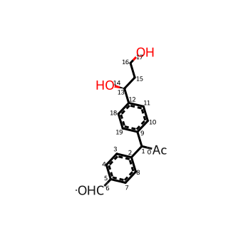 CC(=O)C(c1ccc([C]=O)cc1)c1ccc([C@@H](O)CCO)cc1